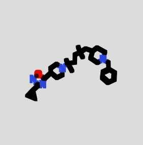 CC(C)(CCC(C)(C)N1CCC(c2nc(C3CC3)no2)CC1)CC1CCN(Cc2ccccc2)CC1